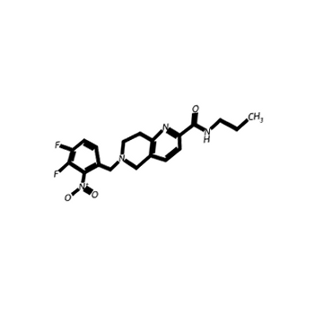 CCCNC(=O)c1ccc2c(n1)CCN(Cc1ccc(F)c(F)c1[N+](=O)[O-])C2